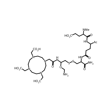 CNC(CCC(=O)O)C(=O)NC(CCC(=O)NC(CSSCC(NC(=O)CN1CCN(CC(=O)O)CCN(CC(=O)O)CCN(CC(=O)O)CC1)OCN)C(N)=O)C(C)=O